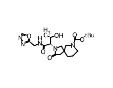 C[C@@H](O)[C@@H](C(=O)NCc1nnco1)N1CC2(CCCN(C(=O)OC(C)(C)C)C2)CC1=O